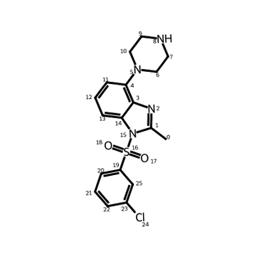 Cc1nc2c(N3CCNCC3)cccc2n1S(=O)(=O)c1cccc(Cl)c1